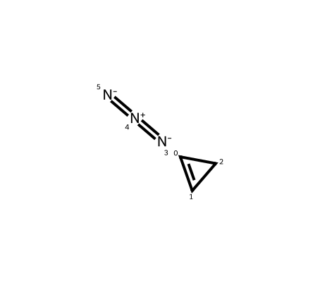 C1=CC1.[N-]=[N+]=[N-]